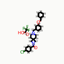 O=C(O)C(F)(F)F.O=C(c1ccc(Cl)cc1)N1CC2(CCN(Cc3cccc(OCc4ccccc4)c3)CC2)C1